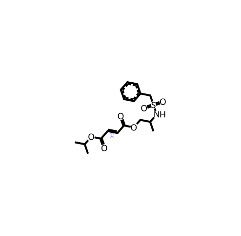 CC(COC(=O)/C=C/C(=O)OC(C)C)NS(=O)(=O)Cc1ccccc1